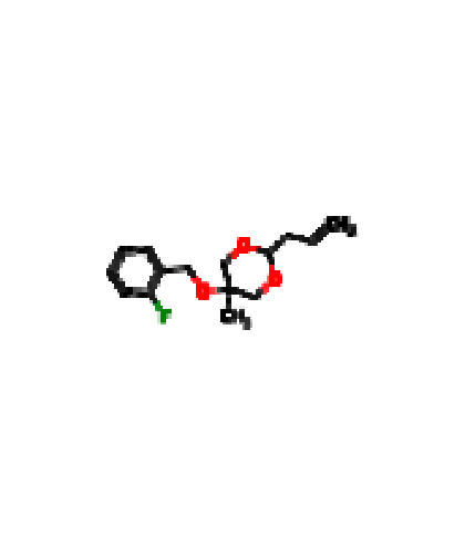 C=CCC1OCC(C)(OCc2ccccc2F)CO1